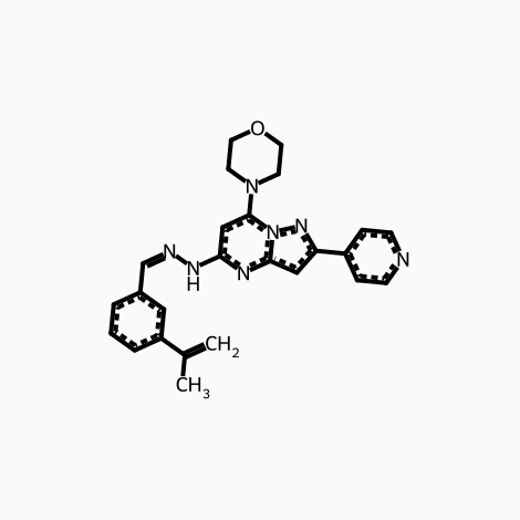 C=C(C)c1cccc(/C=N\Nc2cc(N3CCOCC3)n3nc(-c4ccncc4)cc3n2)c1